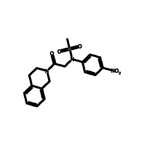 CS(=O)(=O)N(CC(=O)N1CCc2ccccc2C1)c1ccc([N+](=O)[O-])cc1